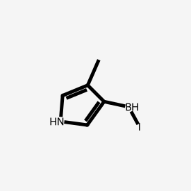 Cc1c[nH]cc1BI